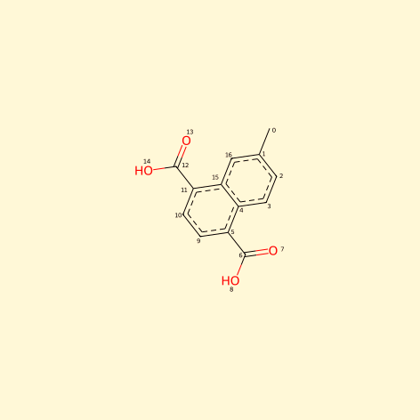 Cc1ccc2c(C(=O)O)ccc(C(=O)O)c2c1